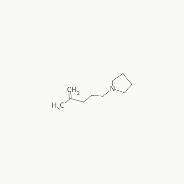 C=C(C)CCCN1CCCC1